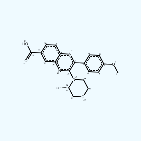 COc1ccc(-c2nc3ccc(C(=O)O)cc3nc2N2CCOC[C@@H]2C)cc1